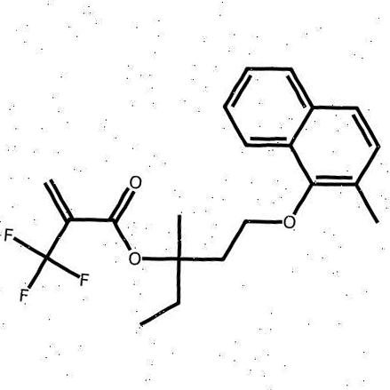 C=C(C(=O)OC(C)(CC)CCOc1c(C)ccc2ccccc12)C(F)(F)F